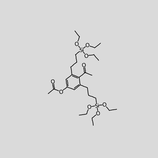 CCO[Si](CCCc1cc(OC(C)=O)cc(CCC[Si](OCC)(OCC)OCC)c1C(C)=O)(OCC)OCC